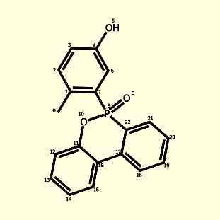 Cc1ccc(O)cc1P1(=O)Oc2ccccc2-c2ccccc21